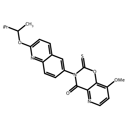 COc1ccnc2c(=O)n(-c3ccc4nc(OC(C)C(C)C)ccc4c3)c(=S)oc12